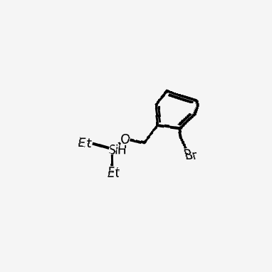 CC[SiH](CC)OCc1ccccc1Br